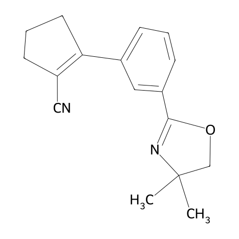 CC1(C)COC(c2cccc(C3=C(C#N)CCC3)c2)=N1